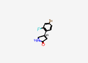 O=C1C[C@H](c2ccc(Br)cc2F)CN1